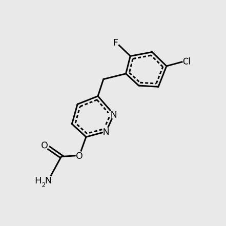 NC(=O)Oc1ccc(Cc2ccc(Cl)cc2F)nn1